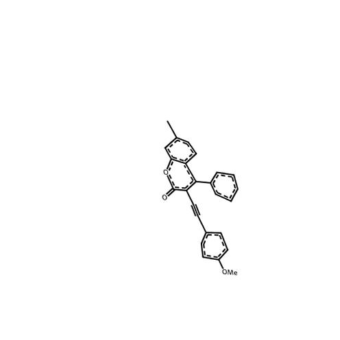 COc1ccc(C#Cc2c(-c3ccccc3)c3ccc(C)cc3oc2=O)cc1